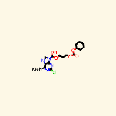 CNc1nc(Cl)nc2c1ncn2C(O)OCCCOC(=O)OC1CCCCC1